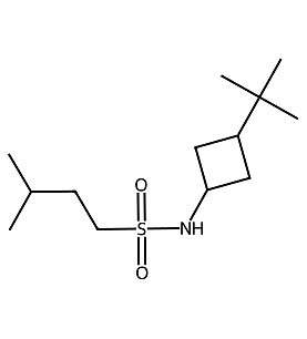 CC(C)CCS(=O)(=O)NC1CC(C(C)(C)C)C1